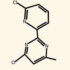 Cc1cc(Cl)nc(-c2cccc(Cl)n2)n1